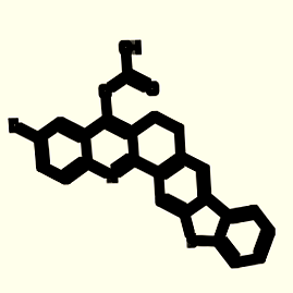 O=C(O)Oc1c2c(nc3ccc(F)cc13)-c1cc3sc4ccccc4c3cc1CC2